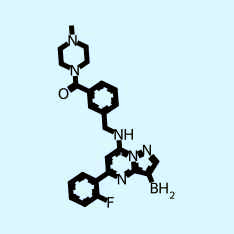 Bc1cnn2c(NCc3cccc(C(=O)N4CCN(C)CC4)c3)cc(-c3ccccc3F)nc12